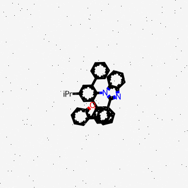 CC(C)c1cc(-c2ccccc2)c(-n2c(-c3cccc4c3oc3ccccc34)nc3ccccc32)c(-c2ccccc2)c1